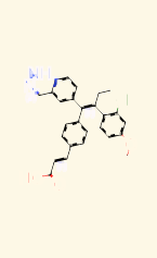 CC/C(=C(/c1ccc(/C=C/C(=O)O)cc1)c1cccc(/C=N\N)c1)c1ccc(OC)cc1Cl